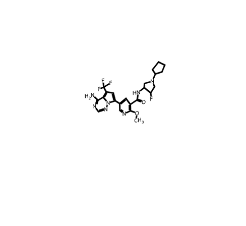 COc1ncc(-c2cc(C(F)(F)F)c3c(N)ncnn23)cc1C(=O)NC1CN(C2CCCC2)CC1F